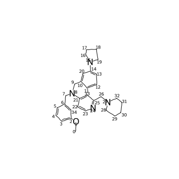 COc1cccc(CN(Cc2cccc(N3CCCC3)c2)c2ccnc(CN3CCCCC3)c2)c1